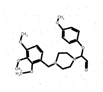 COc1ccc(OC(C=O)N2CCN(Cc3ccc(OC)c(OC)c3OC)CC2)cc1